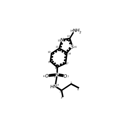 CCC(C)NS(=O)(=O)c1ccc2nc(N)sc2c1